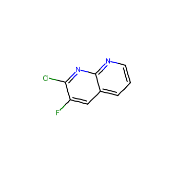 Fc1cc2cccnc2nc1Cl